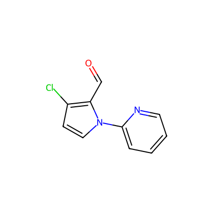 O=Cc1c(Cl)ccn1-c1ccccn1